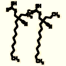 CCCCCCCCCCC(C#N)(CCC)CSC(=S)S.CCCCCCCCCCC(C#N)(CCC)CSC(=S)S